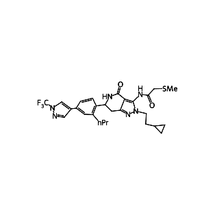 CCCc1cc(-c2cnn(C(F)(F)F)c2)ccc1C1Cc2nn(CCC3CC3)c(NC(=O)CSC)c2C(=O)N1